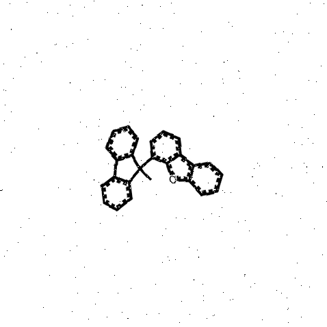 CC1(c2cccc3c2oc2ccccc23)c2ccccc2-c2ccccc21